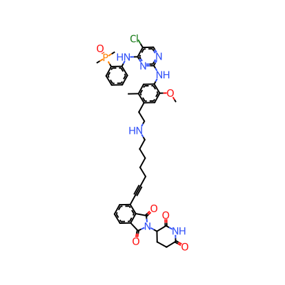 COc1cc(CCNCCCCCC#Cc2cccc3c2C(=O)N(C2CCC(=O)NC2=O)C3=O)c(C)cc1Nc1ncc(Cl)c(Nc2ccccc2P(C)(C)=O)n1